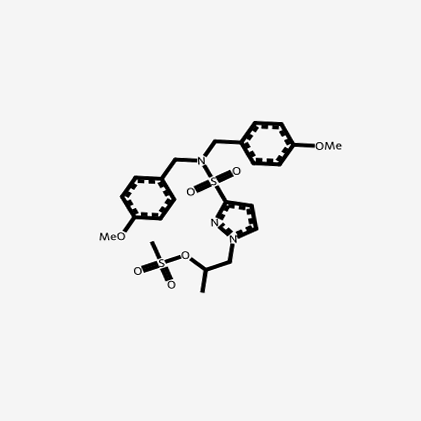 COc1ccc(CN(Cc2ccc(OC)cc2)S(=O)(=O)c2ccn(CC(C)OS(C)(=O)=O)n2)cc1